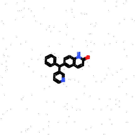 O=c1ccc2cc(C(c3ccccc3)c3cccnc3)ccc2[nH]1